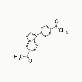 CC(=O)c1ccc(-[s+]2ccc3cc(C(C)=O)ccc32)cc1